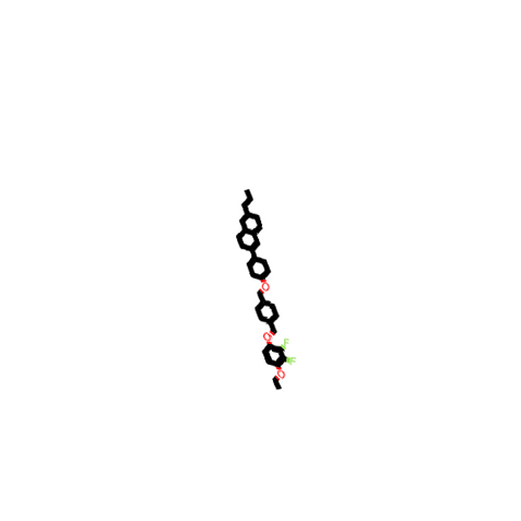 CCCC1CCC2CC(C3CCC(OCC4CCC(COc5ccc(OCC)c(F)c5F)CC4)CC3)CCC2C1